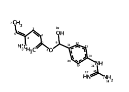 C=C(/C=C\C(C)=C/C)OC(O)c1ccc(NC(=N)N)cc1